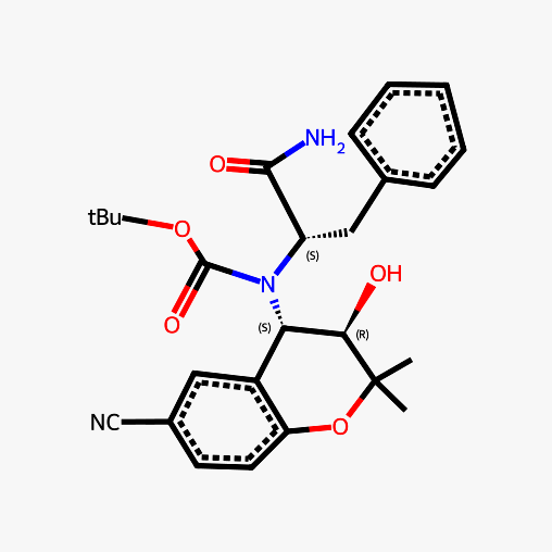 CC(C)(C)OC(=O)N([C@@H](Cc1ccccc1)C(N)=O)[C@H]1c2cc(C#N)ccc2OC(C)(C)[C@@H]1O